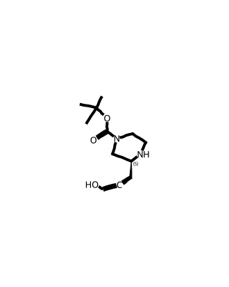 CC(C)(C)OC(=O)N1CCN[C@@H](C=C=CO)C1